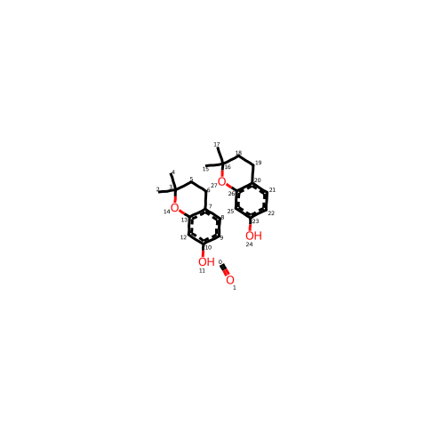 C=O.CC1(C)CCc2ccc(O)cc2O1.CC1(C)CCc2ccc(O)cc2O1